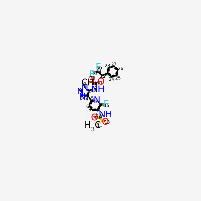 Cn1nnc(-c2ccc(NS(C)(=O)=O)c(F)n2)c1NC(=O)O[C@@H](c1ccccc1)C(F)F